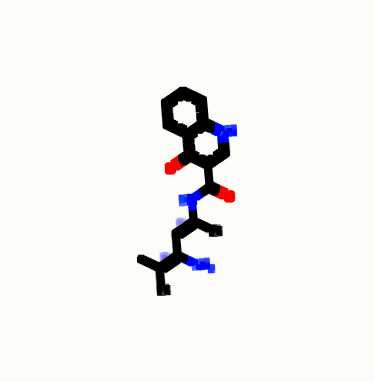 CC/C(C)=C(N)/C=C(\CC)NC(=O)c1c[nH]c2ccccc2c1=O